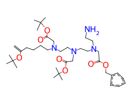 C=C(CCCCN(CCN(CCN(CCN)CC(=O)OCc1ccccc1)CC(=O)OC(C)(C)C)CC(=O)OC(C)(C)C)OC(C)(C)C